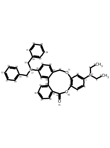 CCN(CC)c1ccc2c(c1)OCc1ccc(N(Cc3ccccc3)Cc3ccccc3)cc1-c1ccccc1C(=O)O2